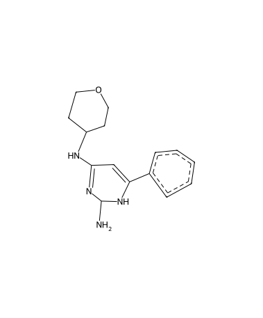 NC1N=C(NC2CCOCC2)C=C(c2ccccc2)N1